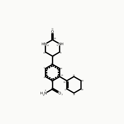 NC(=O)c1ccc(C2CNC(=O)NC2)cc1C1=CCCCC1